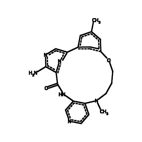 Cc1cc2cc(c1)-c1cnc(N)c(n1)C(=O)Nc1cnccc1N(C)CCCO2